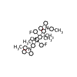 Cc1ccc(N(c2ccc3c(c2)C(C)(C)c2cc4c(-c5cccc(F)c5)c5c(cc4c(-c4cccc(F)c4)c2-3)C(C)(C)c2cc(N(c3ccc(C)cc3)c3ccccc3-c3ccccc3)ccc2-5)c2ccccc2-c2ccccc2)cc1